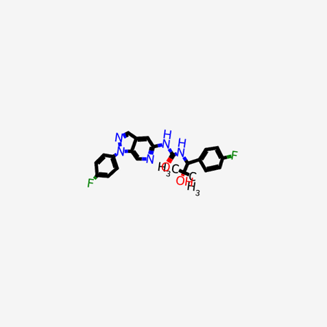 CC(C)(O)C(NC(=O)Nc1cc2cnn(-c3ccc(F)cc3)c2cn1)c1ccc(F)cc1